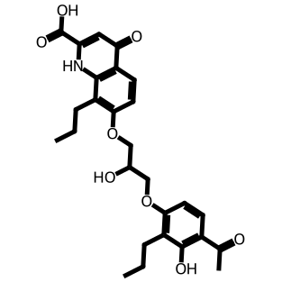 CCCc1c(OCC(O)COc2ccc3c(=O)cc(C(=O)O)[nH]c3c2CCC)ccc(C(C)=O)c1O